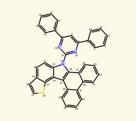 c1ccc(-c2cc(-c3ccccc3)nc(-n3c4ccc5ccsc5c4c4c5ccccc5c5ccccc5c43)n2)cc1